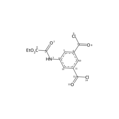 CCOC(=O)C(=O)Nc1cc(C(=O)Cl)cc(C(=O)Cl)c1